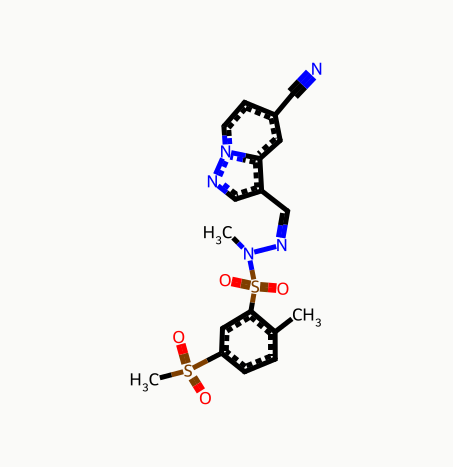 Cc1ccc(S(C)(=O)=O)cc1S(=O)(=O)N(C)/N=C\c1cnn2ccc(C#N)cc12